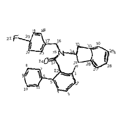 Cc1cccc(-c2ccccc2)c1C(=O)N(Cc1ccc(F)cc1)C1Cc2ccccc2C1